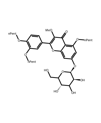 CCCCCOc1ccc(-c2oc3cc(O[C@@H]4OC(CO)[C@@H](O)C(O)[C@@H]4O)cc(OCCCCC)c3c(=O)c2OC)cc1OCCCCC